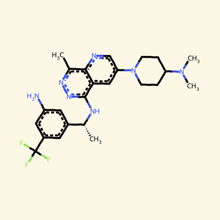 Cc1nnc(N[C@H](C)c2cc(N)cc(C(F)(F)F)c2)c2cc(N3CCC(N(C)C)CC3)cnc12